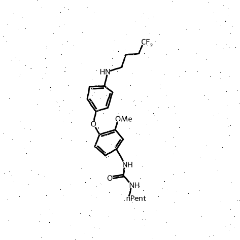 CCCCCNC(=O)Nc1ccc(Oc2ccc(NCCCC(F)(F)F)cc2)c(OC)c1